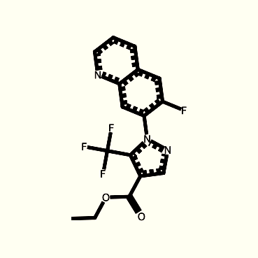 CCOC(=O)c1cnn(-c2cc3ncccc3cc2F)c1C(F)(F)F